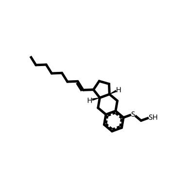 CCCCCC/C=C/C1CC[C@@H]2Cc3c(cccc3SCS)C[C@H]12